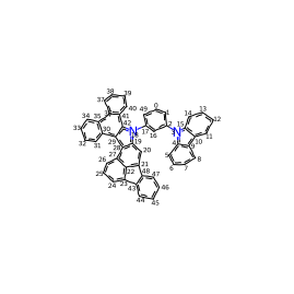 c1cc(-n2c3ccccc3c3ccccc32)cc(-n2c3cc4c5c(cccc5c3c3c5ccccc5c5ccccc5c32)-c2ccccc2-4)c1